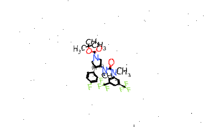 CN(C(=O)N(C)[C@@H]1CN(C(=O)OC(C)(C)C)C[C@H]1c1ccc(F)cc1)c1cc(C(F)(F)F)cc(C(F)(F)F)c1